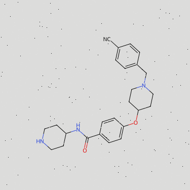 N#Cc1ccc(CN2CCC(Oc3ccc(C(=O)NC4CCNCC4)cc3)CC2)cc1